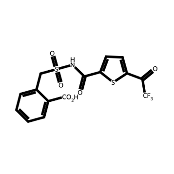 O=C(NS(=O)(=O)Cc1ccccc1C(=O)O)c1ccc(C(=O)C(F)(F)F)s1